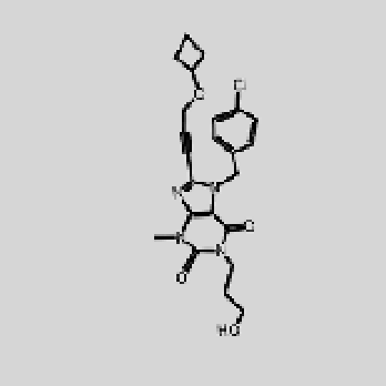 Cn1c(=O)n(CCCO)c(=O)c2c1nc(C#CCOC1CCC1)n2Cc1ccc(Cl)cc1